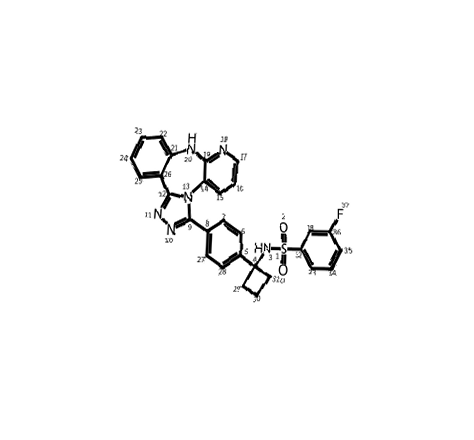 O=S(=O)(NC1(c2ccc(-c3nnc4n3-c3cccnc3Nc3ccccc3-4)cc2)CCC1)c1cccc(F)c1